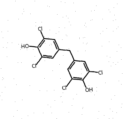 Oc1c(Cl)cc(Cc2cc(Cl)c(O)c(Cl)c2)cc1Cl